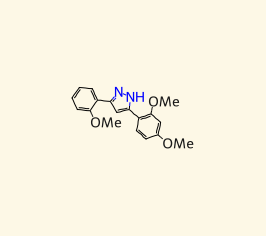 COc1ccc(-c2cc(-c3ccccc3OC)n[nH]2)c(OC)c1